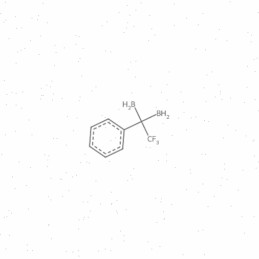 BC(B)(c1ccccc1)C(F)(F)F